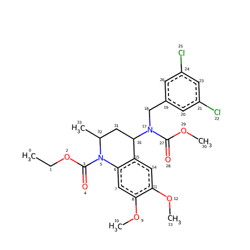 CCOC(=O)N1c2cc(OC)c(OC)cc2C(N(Cc2cc(Cl)cc(Cl)c2)C(=O)OC)CC1C